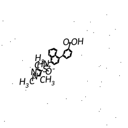 Cc1nn(C)c(C)c1[S+]([O-])Nc1ccc(-c2cccc(C(=O)O)c2)c2ccccc12